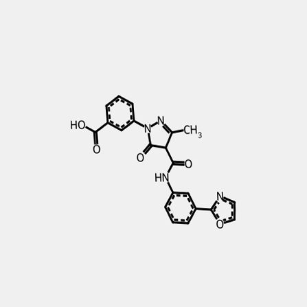 CC1=NN(c2cccc(C(=O)O)c2)C(=O)C1C(=O)Nc1cccc(-c2ncco2)c1